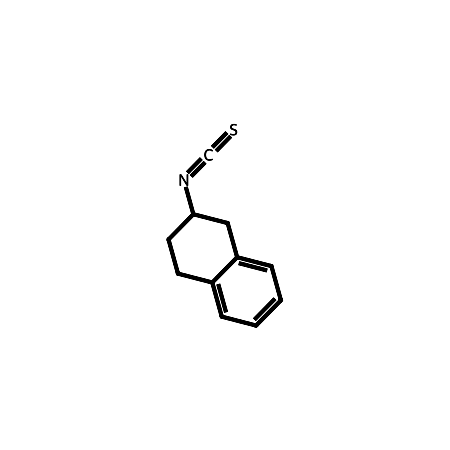 S=C=NC1CCc2ccccc2C1